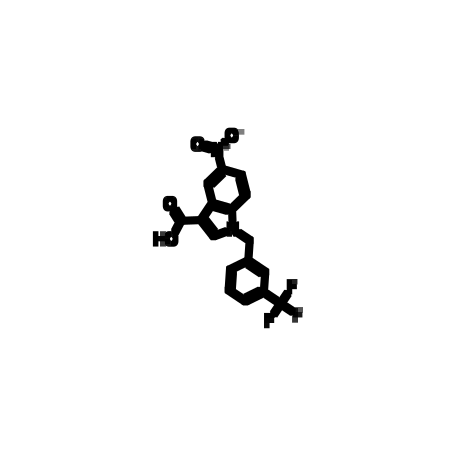 O=C(O)c1cn(Cc2cccc(C(F)(F)F)c2)c2ccc([N+](=O)[O-])cc12